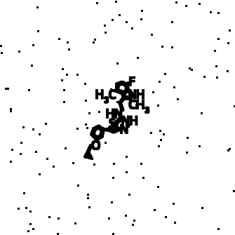 Cc1[nH]c2c(F)ccc(C)c2c1CCNC1=c2sc(-c3cccc(OCC4CC4)c3)cc2=NCN1